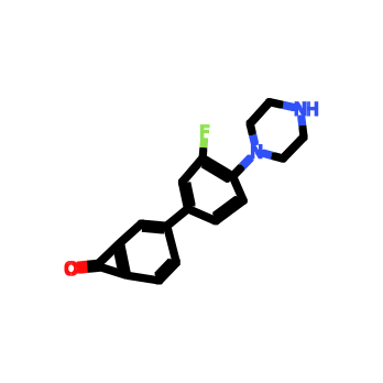 O=c1c2ccc(-c3ccc(N4CCNCC4)c(F)c3)cc12